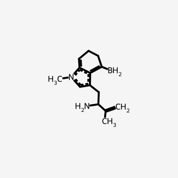 BC1=c2c(CC(N)C(=C)C)cn(C)c2=CCC1